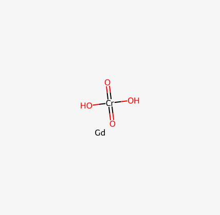 [Gd].[O]=[Cr](=[O])([OH])[OH]